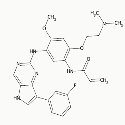 C=CC(=O)Nc1cc(Nc2ncc3[nH]cc(-c4cccc(F)c4)c3n2)c(OC)cc1OCCN(C)C